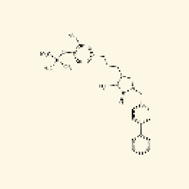 CCCCc1cc(CCCC2CN(Cc3ccc(-c4ccccc4)cc3)C(=O)N2C)ccc1OC(C)(C)C(=O)O